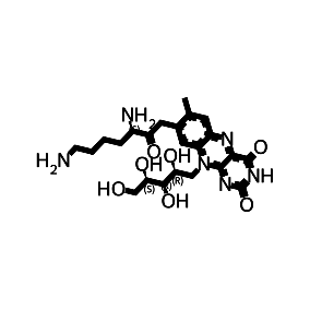 Cc1cc2nc3c(=O)[nH]c(=O)nc-3n(C[C@@H](O)[C@@H](O)[C@@H](O)CO)c2cc1CC(=O)[C@@H](N)CCCCN